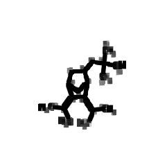 CC(C)=C1C(=C(C)C)C2CC1CC2CC(C)(O)C(F)(F)F